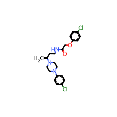 C=C(CCNC(=O)COc1ccc(Cl)cc1)N1CCN(c2ccc(Cl)cc2)CC1